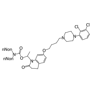 CCCCCCCCCN(CCCCCCCCC)C(=O)OC(C)N1C(=O)CCc2ccc(OCCCCN3CCN(c4cccc(Cl)c4Cl)CC3)cc21